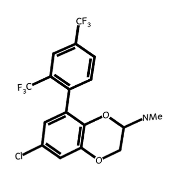 CNC1COc2cc(Cl)cc(-c3ccc(C(F)(F)F)cc3C(F)(F)F)c2O1